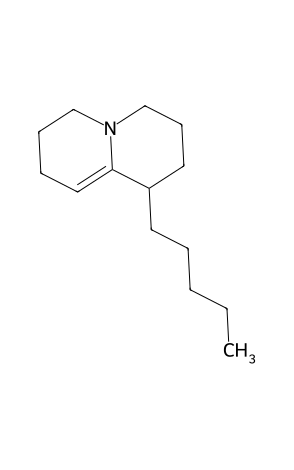 CCCCCC1CCCN2CCCC=C12